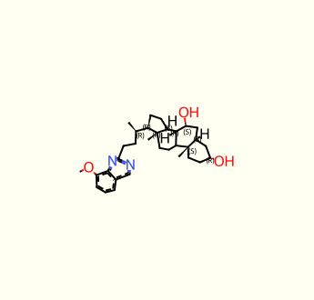 COc1cccc2cnc(CC[C@@H](C)[C@H]3CC[C@H]4[C@H]5C(CC[C@]34C)[C@@]3(C)CC[C@@H](O)C[C@H]3C[C@@H]5O)nc12